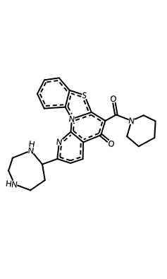 O=C(c1c(=O)c2ccc(C3CCNCCN3)nc2n2c1sc1ccccc12)N1CCCCC1